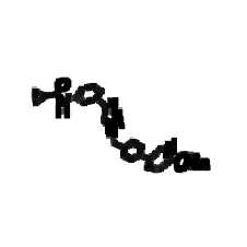 COc1ccc(-c2ccc(Cn3cc(-c4cccc(NC(=O)C5CC5)c4)nn3)cc2)cn1